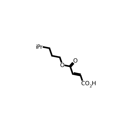 CC(C)CCCOC(=O)C=CC(=O)O